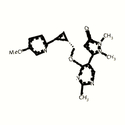 COc1ccc(C2=C[C@@H]2COc2nc(C)ncc2-c2cc(=O)n(C)n2C)nc1